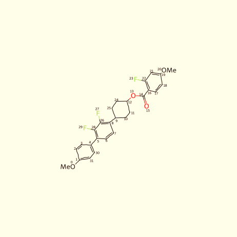 COc1ccc(-c2ccc(C3CCC(OC(=O)c4ccc(OC)cc4F)CC3)c(F)c2F)cc1